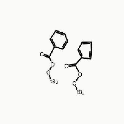 CC(C)(C)OOC(=O)c1ccccc1.CC(C)(C)OOC(=O)c1ccccc1